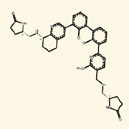 COc1nc(-c2cccc(-c3cccc(-c4cnc5c(c4)CCC[C@@H]5NC[C@@H]4CCC(=O)N4)c3Cl)c2Cl)ccc1CNC[C@@H]1CCC(=O)N1